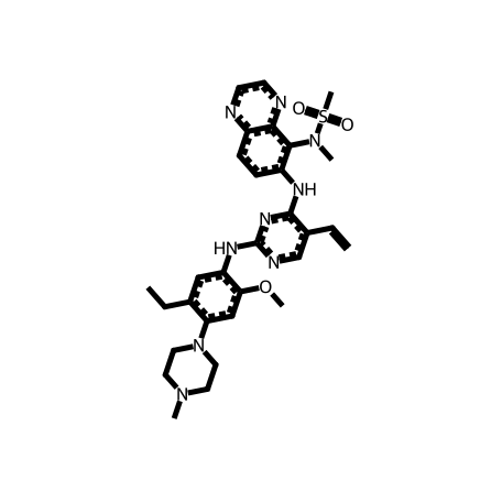 C=Cc1cnc(Nc2cc(CC)c(N3CCN(C)CC3)cc2OC)nc1Nc1ccc2nccnc2c1N(C)S(C)(=O)=O